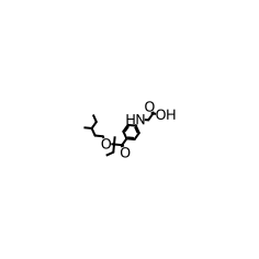 CCC(C)CCOC(C)(CC)C(=O)c1ccc(NCC(=O)O)cc1